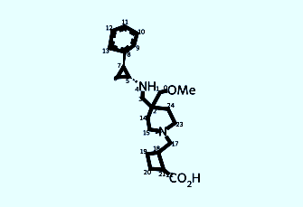 COCC1(CN[C@@H]2C[C@H]2c2ccccc2)CCN(CC2CCC2C(=O)O)CC1